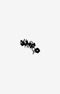 C=C(C)CC(C)(COc1ccccc1F)NC(=O)c1cnc2c(ccn2C)c1